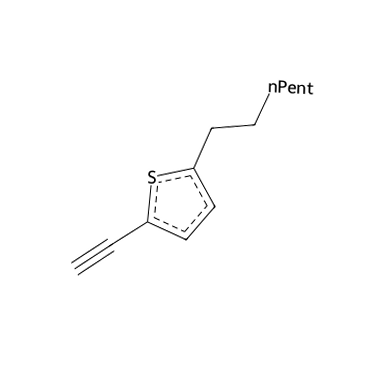 C#Cc1ccc(CCCCCCC)s1